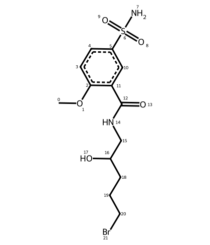 COc1ccc(S(N)(=O)=O)cc1C(=O)NCC(O)CCCBr